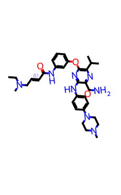 CCN(C)C/C=C/C(=O)Nc1cccc(Oc2nc(Nc3ccc(N4CCN(C)CC4)cc3)c(C(N)=O)nc2C(C)C)c1